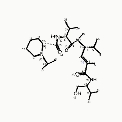 C/C(=C\[C@H](C(C)C)N(C)C(=O)[C@@H](NC(=O)[C@H]1CCCCN1C(C)C)C(C)C)C(=O)NC(CO)C(C)C